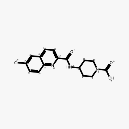 O=C(NC1CCN(C(=O)O)CC1)c1ccc2cc(Cl)ccc2n1